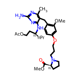 CCC[C@@H](CCOC(C)=O)Nc1nc(N)nc(C)c1Cc1ccc(OCCCN2CCC[C@H]2C(=O)OC)cc1OC